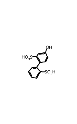 O=S(=O)(O)c1ccccc1-c1ccc(O)cc1S(=O)(=O)O